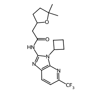 CC1(C)CCC(CC(=O)Nc2nc3ccc(C(F)(F)F)nc3n2C2CCC2)O1